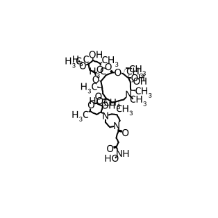 CC[C@H]1OC(=O)[C@H](C)[C@@H](O[C@H]2C[C@@](C)(OC)[C@@H](O)[C@H](C)O2)[C@H](C)[C@@H](O[C@@H]2O[C@H](C)CC(N3CCCN(C(=O)CCC(=O)NO)CC3)[C@H]2O)[C@](C)(O)C[C@@H](C)CN(C)[C@H](C)[C@@H](O)[C@]1(C)O